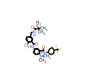 CN(C)c1ccc(NC(=O)c2cc(CNC(=O)C(C)(C)C)ccc2Cl)cc1C(=O)NC1CCC(C(F)(F)F)CC1